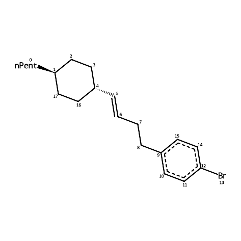 CCCCC[C@H]1CC[C@H](C=CCCc2ccc(Br)cc2)CC1